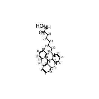 Cc1ccccc1N(c1ccccc1C)C1N=CC=CN1CCCCCCC(=O)NO